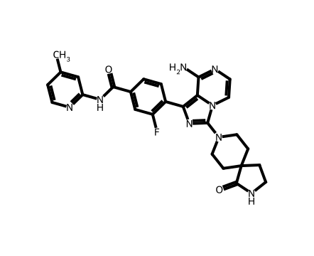 Cc1ccnc(NC(=O)c2ccc(-c3nc(N4CCC5(CCNC5=O)CC4)n4ccnc(N)c34)c(F)c2)c1